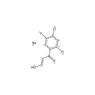 O=C(C=CO)c1cc(F)c(Cl)cc1Cl.[Na]